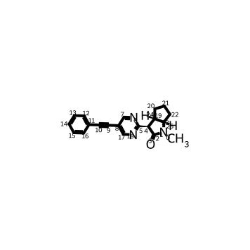 CN1C(=O)[C@@H](c2ncc(C#Cc3ccccc3)cn2)[C@@H]2CCC[C@@H]21